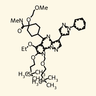 CCOc1c(OCC[Si](C)(C)C)n(COCC[Si](C)(C)C)c2c1c(C1CCC(OCCOC)(C(=O)NC)CC1)nc1c(-c3cnn(-c4ccccc4)c3)cnn12